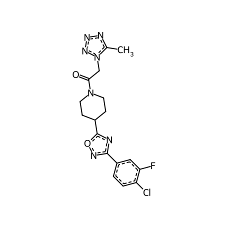 Cc1nnnn1CC(=O)N1CCC(c2nc(-c3ccc(Cl)c(F)c3)no2)CC1